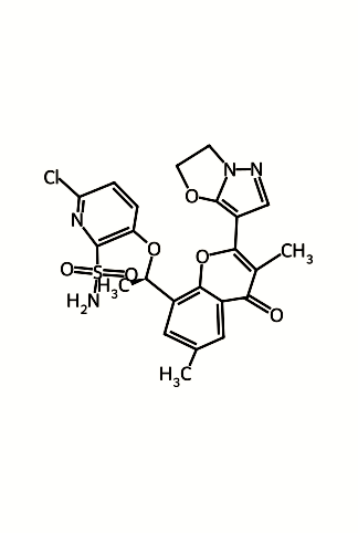 Cc1cc([C@@H](C)Oc2ccc(Cl)nc2S(N)(=O)=O)c2oc(-c3cnn4c3OCC4)c(C)c(=O)c2c1